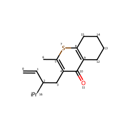 C=CC(Cc1c(C)sc2c(c1=O)CCCC2)C(C)C